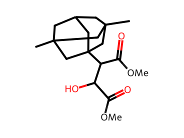 COC(=O)C(O)C(C(=O)OC)C12CC3CC(C)(CC(C)(C3)C1)C2